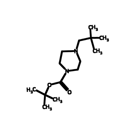 CC(C)(C)CN1CCN(C(=O)OC(C)(C)C)CC1